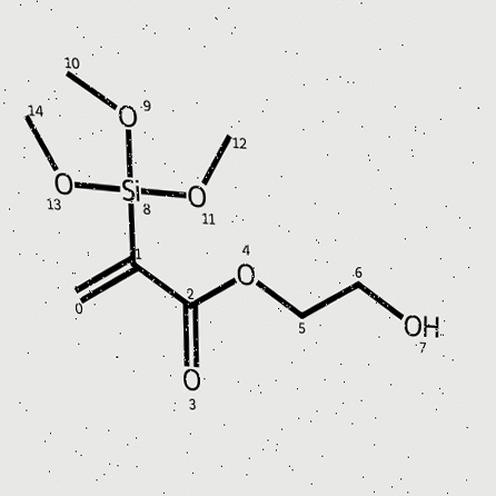 C=C(C(=O)OCCO)[Si](OC)(OC)OC